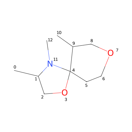 CC1COC2(CCOCC2C)N1C